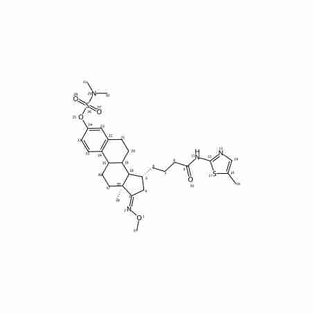 CO/N=C1\C[C@@H](CCCC(=O)Nc2ncc(C)s2)C2C3CCc4cc(OS(=O)(=O)N(C)C)ccc4C3CC[C@]12C